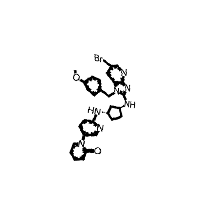 COc1ccc(Cn2c(N[C@H]3CC[C@H](Nc4ccc(-n5ccccc5=O)cn4)C3)nc3ncc(Br)cc32)cc1